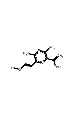 C=C(OC)c1nc(/C=C/OCC)c(N)nc1N